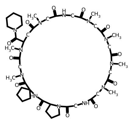 CN1CC(=O)NCC(=O)N(C)CC(=O)N(C)CC(=O)N(C)CC(=O)N(C)CC(=O)NCC(=O)N2CCCC2C(=O)NC2(CCCC2)C(=O)N(C)CC(=O)N(C)C(C(=O)N2CCCCC2)CC1=O